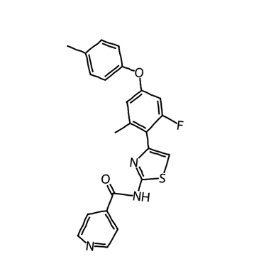 Cc1ccc(Oc2cc(C)c(-c3csc(NC(=O)c4ccncc4)n3)c(F)c2)cc1